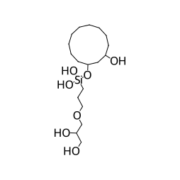 OCC(O)COCCC[Si](O)(O)OC1CCCCCCCCCC(O)C1